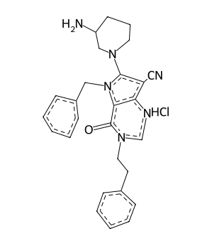 Cl.N#Cc1c(N2CCCC(N)C2)n(Cc2ccccc2)c2c(=O)n(CCc3ccccc3)cnc12